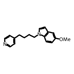 COc1ccc2c(ccn2CCCCc2ccncc2)c1